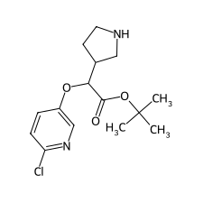 CC(C)(C)OC(=O)C(Oc1ccc(Cl)nc1)C1CCNC1